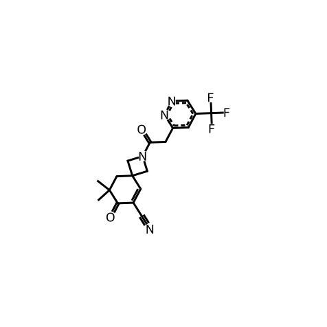 CC1(C)CC2(C=C(C#N)C1=O)CN(C(=O)Cc1cc(C(F)(F)F)cnn1)C2